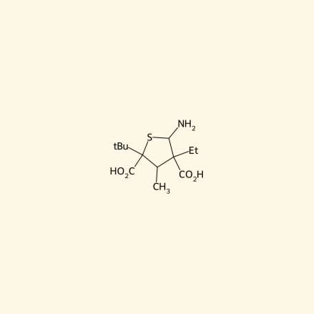 CCC1(C(=O)O)C(N)SC(C(=O)O)(C(C)(C)C)C1C